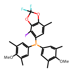 COc1c(C)cc(P(c2cc(C)c(OC)c(C)c2)c2cc(C)c3c(c2I)OC(F)(F)O3)cc1C